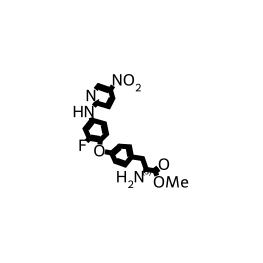 COC(=O)[C@@H](N)Cc1ccc(Oc2ccc(Nc3ccc([N+](=O)[O-])cn3)cc2F)cc1